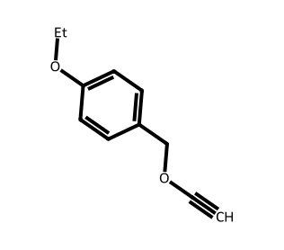 C#COCc1ccc(OCC)cc1